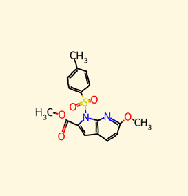 COC(=O)c1cc2ccc(OC)nc2n1S(=O)(=O)c1ccc(C)cc1